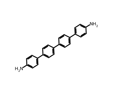 Nc1ccc(-c2ccc(-c3ccc(-c4ccc(N)cc4)cc3)cc2)cc1